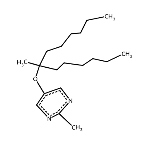 CCCCCCC(C)(CCCCCC)Oc1cnc(C)nc1